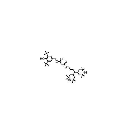 CC1(C)CC(C(CCCOC(=O)CC(=O)OCc2cc(C(C)(C)C)c(O)c(C(C)(C)C)c2)C2CC(C)(C)NC(C)(C)C2)CC(C)(C)N1